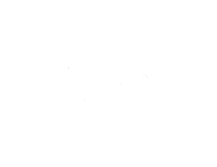 CC(C)OCP(Cl)Cl